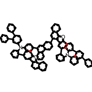 c1ccc(-c2ccc(-c3ccccc3N(c3ccccc3)c3ccccc3-c3ccc4oc5c6ccccc6cc(-c6ccc7c(c6)cc(-c6ccc(N(c8ccc(-c9ccccc9)c(-c9ccccc9)c8)c8ccccc8-c8ccc9oc%10c%11ccccc%11ccc%10c9c8)cc6)c6ccccc67)c5c4c3)cc2)cc1